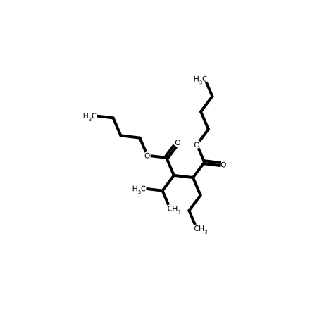 CCCCOC(=O)C(CCC)C(C(=O)OCCCC)C(C)C